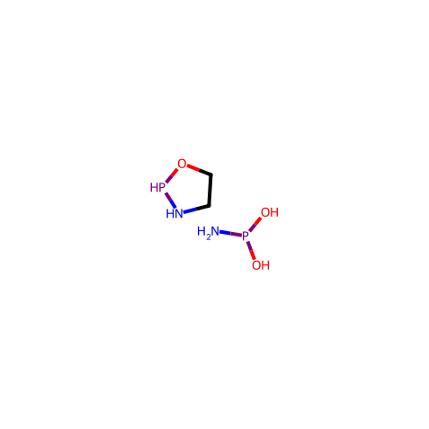 C1COPN1.NP(O)O